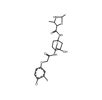 CC1NC(C)C(C(=O)NC23CCC(NC(=O)COc4ccc(Cl)c(F)c4)(CC2)C(O)C3)S1